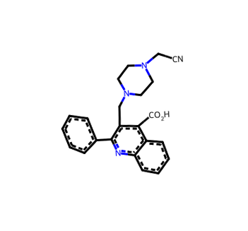 N#CCN1CCN(Cc2c(-c3ccccc3)nc3ccccc3c2C(=O)O)CC1